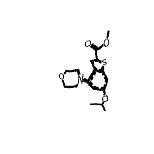 COC(=O)c1cc2c(N3CCOCC3)cc(OC(C)C)cc2s1